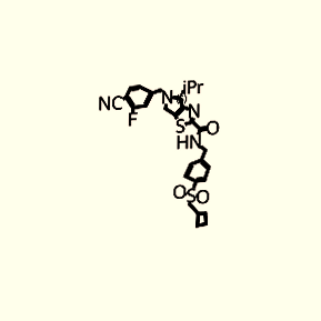 CC(C)[C@H]1c2nc(C(=O)NCc3ccc(S(=O)(=O)CC4CCC4)cc3)sc2CN1Cc1ccc(C#N)c(F)c1